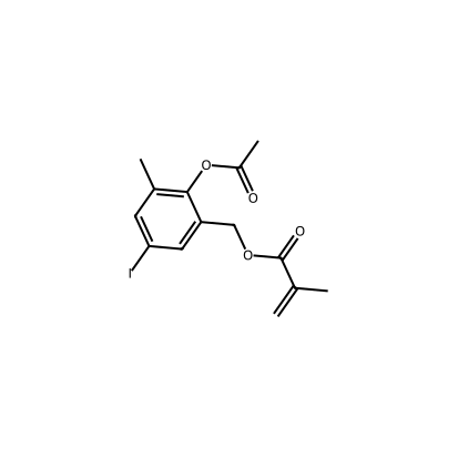 C=C(C)C(=O)OCc1cc(I)cc(C)c1OC(C)=O